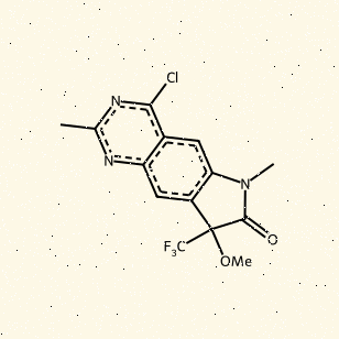 COC1(C(F)(F)F)C(=O)N(C)c2cc3c(Cl)nc(C)nc3cc21